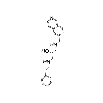 OC(CNCCc1ccccc1)CNCc1ccc2cnccc2c1